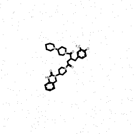 O=C(CC(Cc1ccc(Cl)c(C(F)(F)F)c1)C(=O)N1CCC(N2CCCCC2)CC1)N1CCC(N2Cc3ccccc3NC2=O)CC1